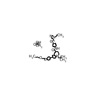 CCCCOCCOc1ccc(-c2ccc3c(c2)C=C(C(=O)Nc2ccc([S@+]([O-])Cc4cncn4CCC)cc2)CCCN3CC(C)C)cc1.CS(=O)(=O)O